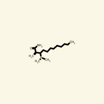 C=C(C(N)=O)C(CCCCCCCCC)N(C)C